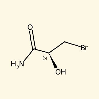 NC(=O)[C@H](O)CBr